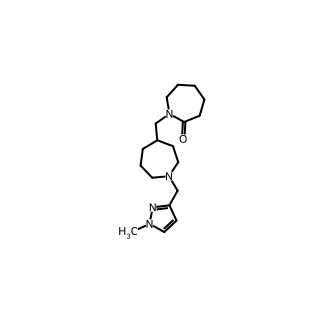 Cn1ccc(CN2CCCC(CN3CCCCCC3=O)CC2)n1